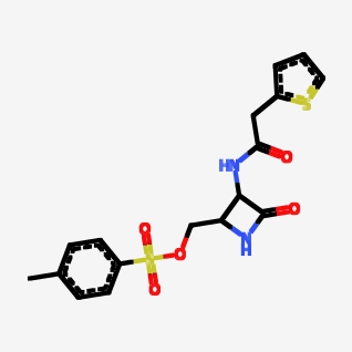 Cc1ccc(S(=O)(=O)OCC2NC(=O)C2NC(=O)Cc2cccs2)cc1